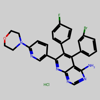 Cl.Nc1ncnc2nc(-c3ccc(N4CCOCC4)nc3)c(-c3ccc(F)cc3)c(-c3cccc(Br)c3)c12